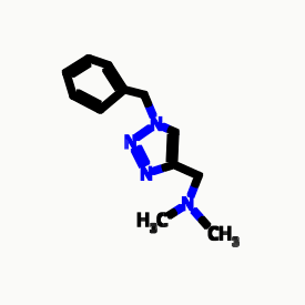 CN(C)Cc1cn(Cc2ccccc2)nn1